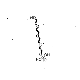 O=[SH](O)(O)OCCOCCOCCOCCO